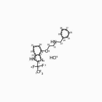 Cl.FC(F)(F)C(F)(F)c1nc2c(OCCNCc3ccccc3)cccc2[nH]1